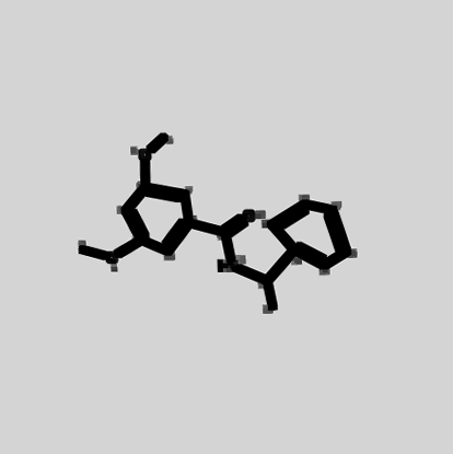 COc1cc(OC)cc(C(=O)NC(C)c2ccccc2)c1